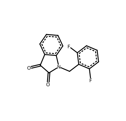 O=C1C(=O)N(Cc2c(F)cccc2F)c2ccccc21